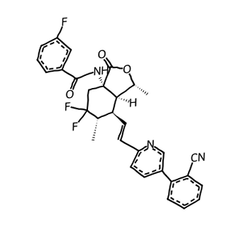 C[C@H]1OC(=O)[C@]2(NC(=O)c3cccc(F)c3)CC(F)(F)[C@@H](C)[C@H](/C=C/c3ccc(-c4ccccc4C#N)cn3)[C@H]12